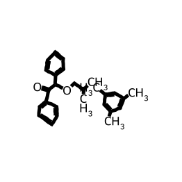 CC(C)COC(C(=O)c1ccccc1)c1ccccc1.Cc1cc(C)cc(C)c1